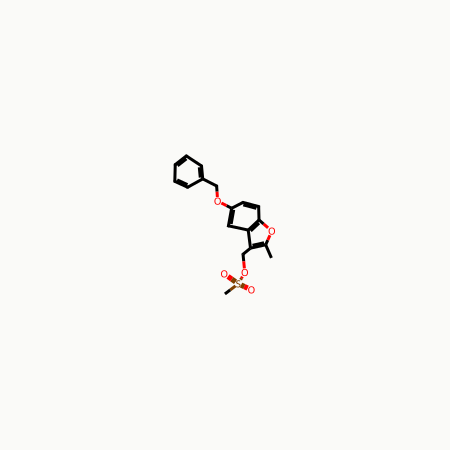 Cc1oc2ccc(OCc3ccccc3)cc2c1COS(C)(=O)=O